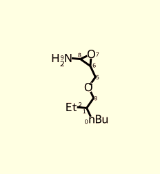 CCCCC(CC)COCC1OC1N